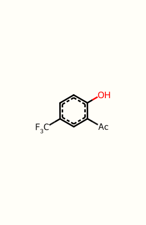 CC(=O)c1cc(C(F)(F)F)ccc1O